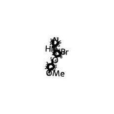 COc1ccc(COc2cc(Br)cc(Nc3ccncc3)c2)cc1